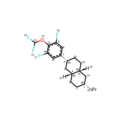 CCC[C@@H]1CC[C@@H]2C[C@H](c3cc(F)c(OC(F)F)c(F)c3)CC[C@@H]2C1